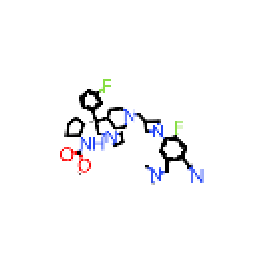 COC(=O)N[C@H]1CCC[C@@H]1C(CN1CCC1)(c1cccc(F)c1)C1CCN(CC2CN(c3cc(CN(C)C)c(C#N)cc3F)C2)CC1